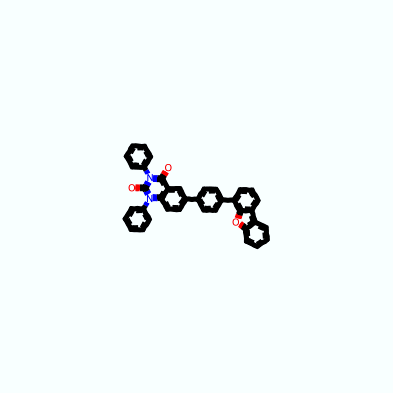 O=c1c2cc(-c3ccc(-c4cccc5c4oc4ccccc45)cc3)ccc2n(-c2ccccc2)c(=O)n1-c1ccccc1